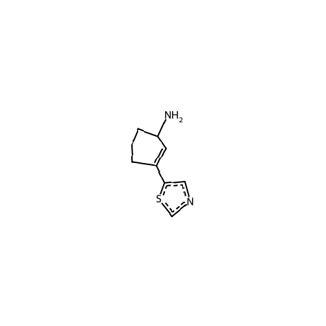 NC1C=C(c2cncs2)CCC1